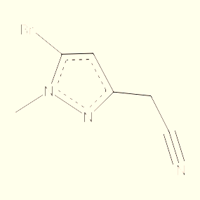 Cn1nc(CC#N)cc1Br